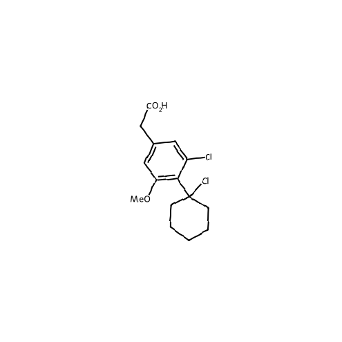 COc1cc(CC(=O)O)cc(Cl)c1C1(Cl)CCCCC1